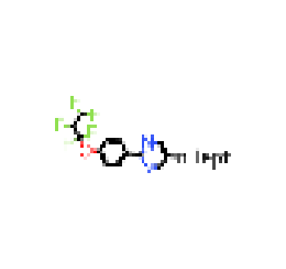 CCCCCCCc1cnc(-c2ccc(OC(F)(F)C(F)C(F)F)cc2)nc1